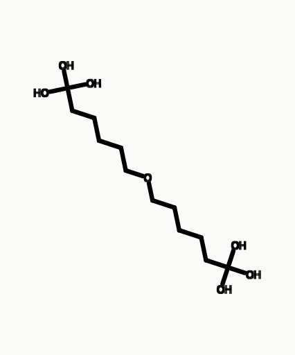 OC(O)(O)CCCCCOCCCCCC(O)(O)O